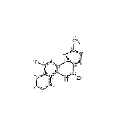 [O-][S+]1Nc2c(cc(F)c3cccnc23)-c2cc(C(F)(F)F)ccc21